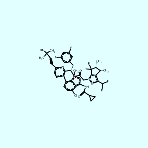 C[C@@H]1c2c(C(F)F)nn(CC(=O)N[C@@H](Cc3cc(F)cc(F)c3)c3nc(C#CC(C)(C)O)ccc3-c3ccc(Cl)c4c(NC(=O)C5CC5)nn(C)c34)c2C(F)(F)[C@@H]1C